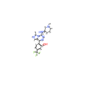 Cc1ncc2c(-c3ccc(C(F)(F)F)cc3O)nnc(N[C@@H]3CCCN(C)C3)n12